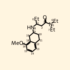 CCC(CC(=O)N(CC)CC)NC1CCc2cccc(OC)c2C1